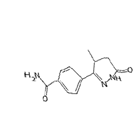 CC1CC(=O)NN=C1c1ccc(C(N)=O)cc1